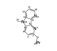 CC(C)Cc1ccc2c(n1)c1ncccc1n2C